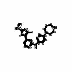 Cc1nc(NC(C)C)sc1-c1ccnc(Nc2ccc(N3CCCNCC3)cn2)n1